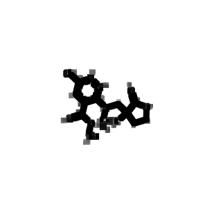 CN(CC1(C)CCOC1=O)c1nnc(Cl)cc1C(=O)OC(C)(C)C